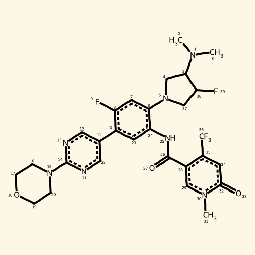 CN(C)C1CN(c2cc(F)c(-c3cnc(N4CCOCC4)nc3)cc2NC(=O)c2cn(C)c(=O)cc2C(F)(F)F)CC1F